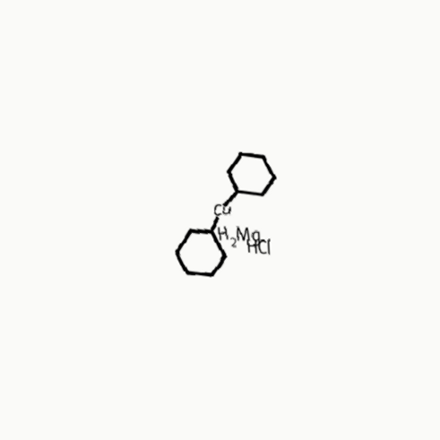 C1CC[CH]([Cu][CH]2CCCCC2)CC1.Cl.[MgH2]